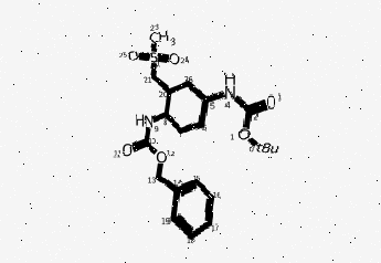 CC(C)(C)OC(=O)NC1CCC(NC(=O)OCc2ccccc2)C(CS(C)(=O)=O)C1